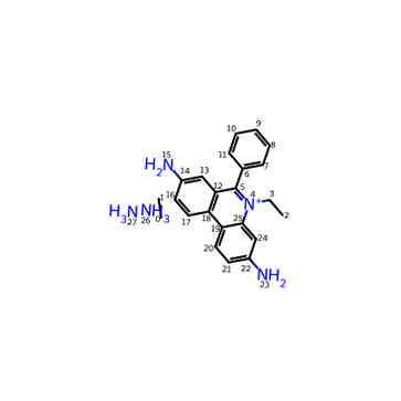 CC.CC[n+]1c(-c2ccccc2)c2cc(N)ccc2c2ccc(N)cc21.N.N